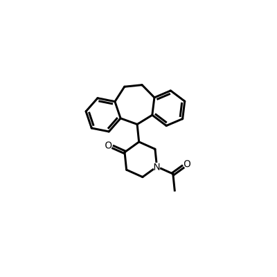 CC(=O)N1CCC(=O)C(C2c3ccccc3CCc3ccccc32)C1